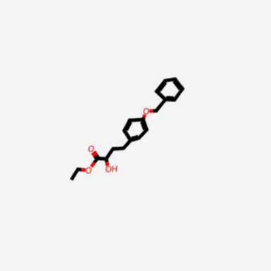 CCOC(=O)C(O)CCc1ccc(OCc2ccccc2)cc1